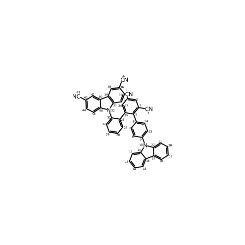 N#Cc1cc(C#N)c(-c2ccc(-n3c4ccccc4c4ccccc43)cc2)c(-c2ccccc2-n2c3ccc(C#N)cc3c3cc(C#N)ccc32)c1